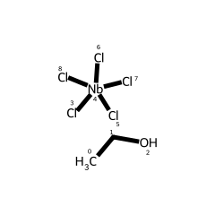 CCO.[Cl][Nb]([Cl])([Cl])([Cl])[Cl]